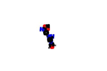 Cc1cc(N2C[C@@H](C)O[C@@H](C)C2)ccc1NC[C@H]1CC[C@H](NS(=O)(=O)C(C)(C)C)CC1